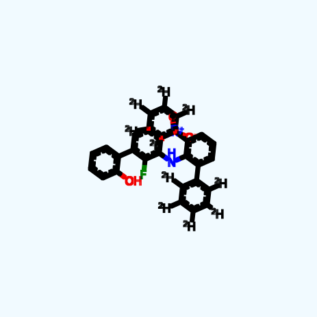 [2H]c1c([2H])c([2H])c(-c2cccc(-c3c([2H])c([2H])c([2H])c([2H])c3[2H])c2Nc2c([N+](=O)[O-])ccc(-c3ccccc3O)c2F)c([2H])c1[2H]